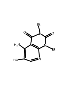 CCn1c(=O)c2c(N)c(O)cnc2n(CC)c1=O